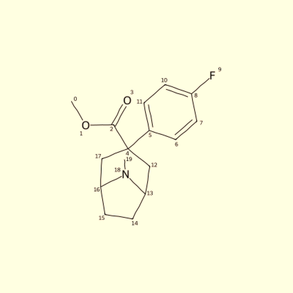 COC(=O)C1(c2ccc(F)cc2)CC2CCC(C1)N2C